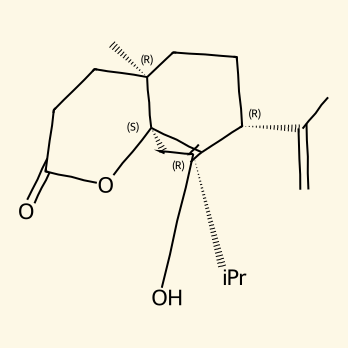 C=C(C)[C@H]1CC[C@]2(C)CCC(=O)O[C@@]23CC[C@@](O)(C(C)C)C=C13